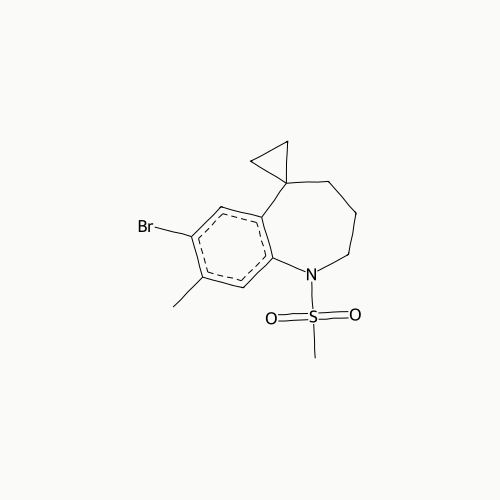 Cc1cc2c(cc1Br)C1(CCCN2S(C)(=O)=O)CC1